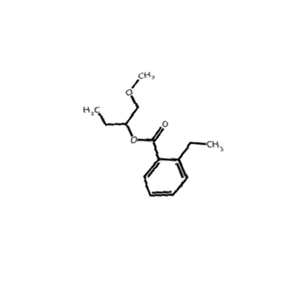 CCc1ccccc1C(=O)OC(CC)COC